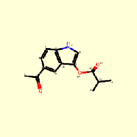 CC(=O)c1ccc2[nH]cc(OC(=O)C(C)C)c2c1